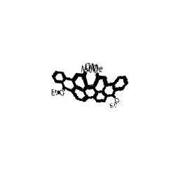 CCOC1c2ccccc2-c2cc(OC)c3c4c(OC)cc5c6c(ccc(c7ccc1c2c73)c64)C(OCC)c1ccccc1-5